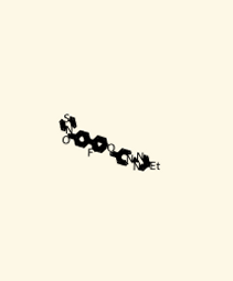 CCc1cnc(N2CCC(COc3ccc(C4=CCC(C(=O)N5CCSCC5)CC4)c(F)c3)CC2)nc1